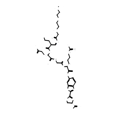 CC[C@H](C)C(/C=N\C(=O)COCCOCCOC)C(=O)N[C@@H](CCC(=O)O)C(=O)NCC(=O)N[C@@H](CCCNC(=N)N)C(=O)Nc1ccc2nc(C3=N[C@@H](C(=O)O)CS3)sc2c1